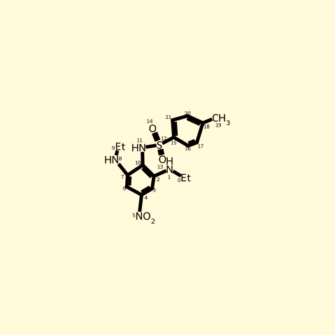 CCNc1cc([N+](=O)[O-])cc(NCC)c1NS(=O)(=O)c1ccc(C)cc1